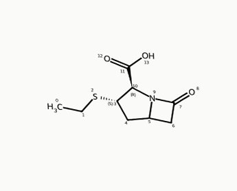 CCS[C@H]1CC2CC(=O)N2[C@@H]1C(=O)O